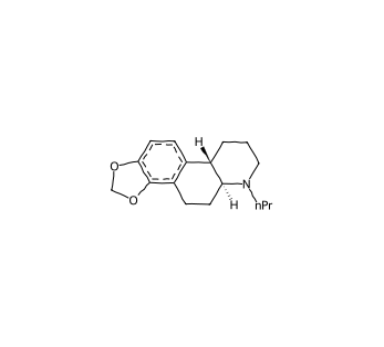 CCCN1CCC[C@H]2c3ccc4c(c3CC[C@@H]21)OCO4